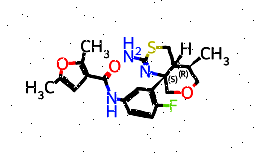 Cc1cc(C(=O)Nc2ccc(F)c([C@]34COC[C@H](C)[C@H]3CSC(N)=N4)c2)c(C)o1